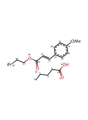 CCCCC(=O)O.COc1ccc(/C=C/C(=O)OCCC(C)C)cc1